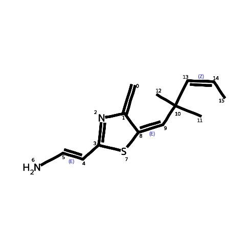 C=c1nc(/C=C/N)s/c1=C/C(C)(C)/C=C\C